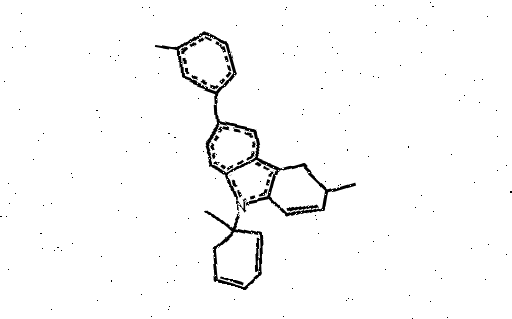 Cc1cccc(-c2ccc3c(c2)c2c(n3C3(C)C=CC=CC3)C=CC(C)C2)c1